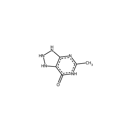 Cc1nc2c(c(=O)[nH]1)NNN2